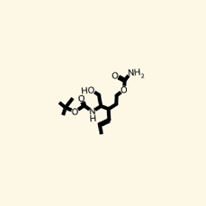 CC=CC(CCOC(N)=O)C(CO)NC(=O)OC(C)(C)C